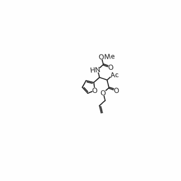 C=CCOC(=O)C(C(C)=O)C(NC(=O)OC)c1ccco1